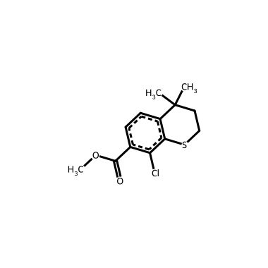 COC(=O)c1ccc2c(c1Cl)SCCC2(C)C